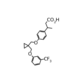 CC(CC(=O)O)c1ccc(OCC2(COc3cccc(C(F)(F)F)c3)CC2)cc1